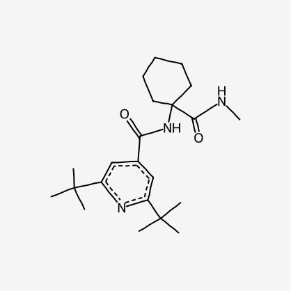 CNC(=O)C1(NC(=O)c2cc(C(C)(C)C)nc(C(C)(C)C)c2)CCCCC1